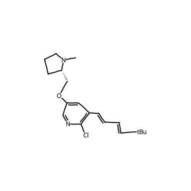 CN1CCC[C@H]1COc1cnc(Cl)c(C=CC=CC(C)(C)C)c1